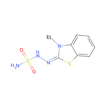 CCn1c(=NNS(N)(=O)=O)sc2ccccc21